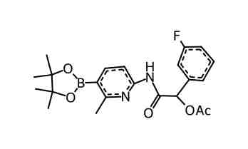 CC(=O)OC(C(=O)Nc1ccc(B2OC(C)(C)C(C)(C)O2)c(C)n1)c1cccc(F)c1